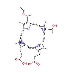 CCOC(C)C1=C(C)c2cc3[nH]c(cc4nc(cc5[nH]c(cc1n2)c(C)c5C(C)O)C(C)=C4CCC(=O)O)c(CCC(=O)O)c3C